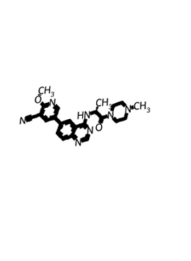 COc1ncc(-c2ccc3ncnc(N[C@@H](C)C(=O)N4CCN(C)CC4)c3c2)cc1C#N